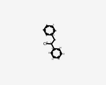 ClC([CH]c1ccccc1)c1ccccc1